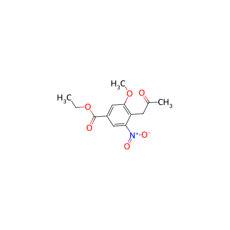 CCOC(=O)c1cc(OC)c(CC(C)=O)c([N+](=O)[O-])c1